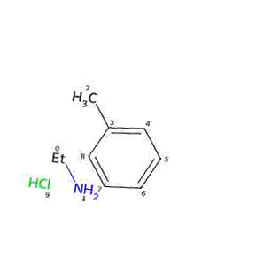 CCN.Cc1ccccc1.Cl